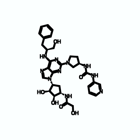 O=C(CO)N[C@H]1C[C@@H](n2cnc3c(N[C@H](CO)Cc4ccccc4)nc(N4CC[C@@H](NC(=O)Nc5cccnc5)C4)nc32)[C@H](O)[C@@H]1O